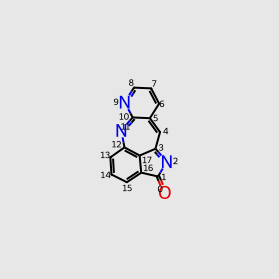 O=C1N=C2C=c3cccnc3=Nc3cccc1c32